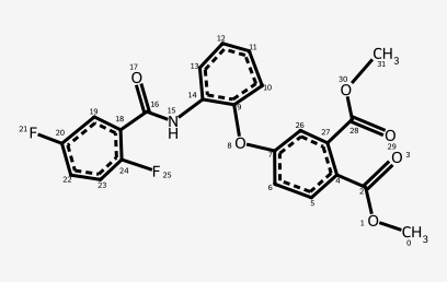 COC(=O)c1ccc(Oc2ccccc2NC(=O)c2cc(F)ccc2F)cc1C(=O)OC